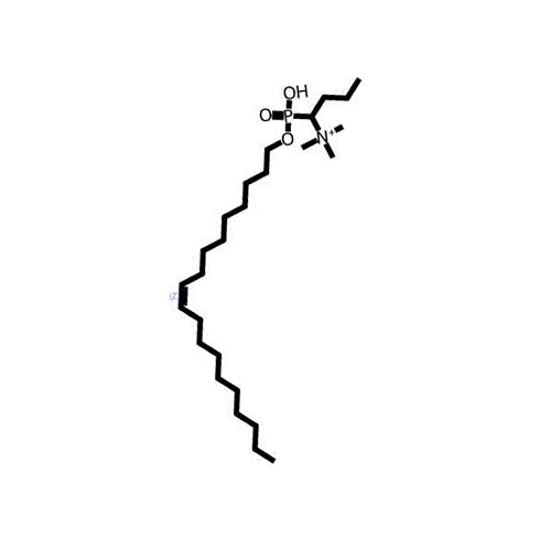 CCCCCCCCC/C=C\CCCCCCCCOP(=O)(O)C(CCC)[N+](C)(C)C